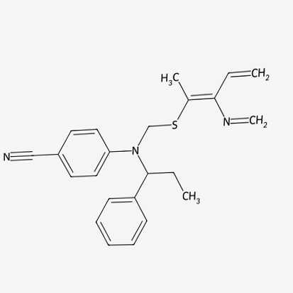 C=C/C(N=C)=C(\C)SCN(c1ccc(C#N)cc1)C(CC)c1ccccc1